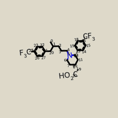 CC(CCCN1CC[C@@H](CC(=O)O)C[C@H]1c1ccc(C(F)(F)F)cc1)Cc1ccc(C(F)(F)F)cc1